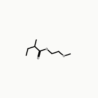 CCC(C)C(=O)OCCOC